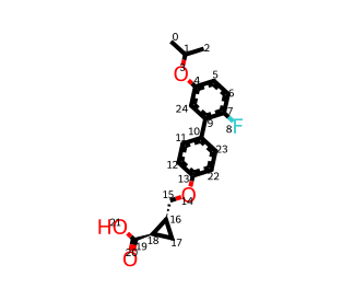 CC(C)Oc1ccc(F)c(-c2ccc(OC[C@@H]3C[C@H]3C(=O)O)cc2)c1